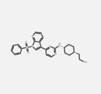 O=S(=O)(c1ccccc1)n1cc(-c2ccnc(N[C@H]3CC[C@H](CCO)CC3)n2)c2cccnc21